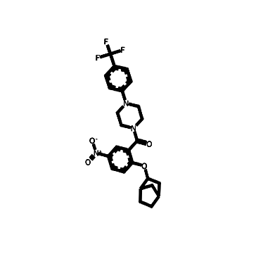 O=C(c1cc([N+](=O)[O-])ccc1OC1CC2CCC1C2)N1CCN(c2ccc(C(F)(F)F)cc2)CC1